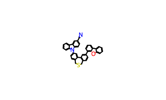 N#Cc1ccc2c(c1)c1ccccc1n2-c1ccc2c(c1)-c1cc(-c3cccc4c3oc3ccccc34)ccc1CSC2